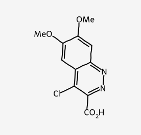 COc1cc2nnc(C(=O)O)c(Cl)c2cc1OC